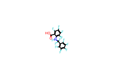 O=C(O)c1c(F)c(F)c(F)c(F)c1N(F)C(F)(F)c1c(F)c(F)c(F)c(F)c1F